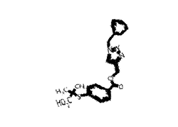 CC(C)(Sc1ccc(C(=O)OCc2cn(Cc3ccccc3)nn2)cc1)C(=O)O